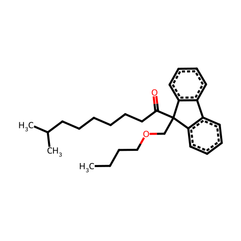 CCCCOCC1(C(=O)CCCCCCC(C)C)c2ccccc2-c2ccccc21